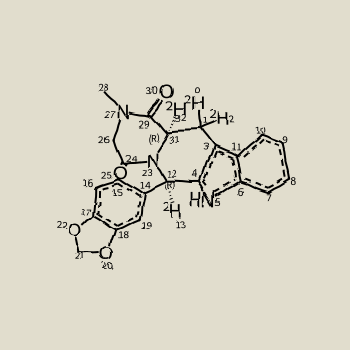 [2H]C1([2H])c2c([nH]c3ccccc23)[C@@]([2H])(c2ccc3c(c2)OCO3)N2C(=O)CN(C)C(=O)[C@]21[2H]